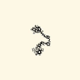 CC(Oc1cc(-c2cnn(C3CCCN(CCCc4cn(CCCCCC(=O)Nc5cccc6c5C(=O)N(C5CCC(=O)NC5=O)C6=O)nn4)C3)c2)cnc1N)c1c(Cl)ccc(F)c1Cl